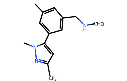 Cc1cc(CNC=O)cc(-c2cc(C(F)(F)F)nn2C)c1